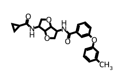 Cc1cccc(Oc2cccc(C(=O)NC3COC4C(NC(=O)C5CC5)COC34)c2)c1